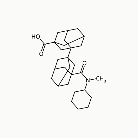 CN(C(=O)C12CC3CC(C1)CC(C14CC5CC(CC(C(=O)O)(C5)C1)C4)(C3)C2)C1CCCCC1